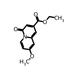 CCOC(=O)c1cc(=O)n2ccc(OC)cc2c1